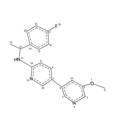 COc1cncc(-c2ccc(NC(C)c3ccc(F)cc3)nc2)c1